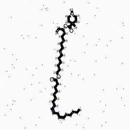 CCCCC/C=C\C/C=C\CCCCCCCC(=O)OCCCCCCCCCCCCC(CC)OC(=O)C1(C)CCN(C)CC1